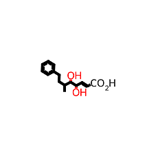 CC(CCc1ccccc1)C(O)C(O)C=CC(=O)O